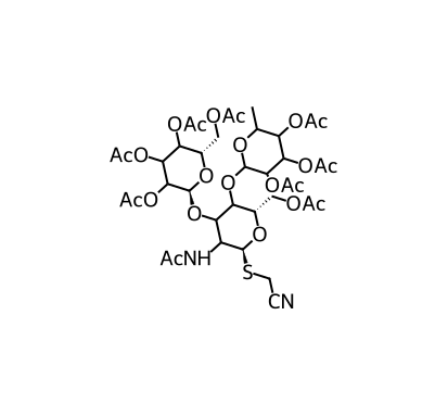 CC(=O)NC1C(O[C@@H]2O[C@@H](COC(C)=O)C(OC(C)=O)C(OC(C)=O)C2OC(C)=O)C(OC2OC(C)C(OC(C)=O)C(OC(C)=O)C2OC(C)=O)[C@H](COC(C)=O)O[C@H]1SCC#N